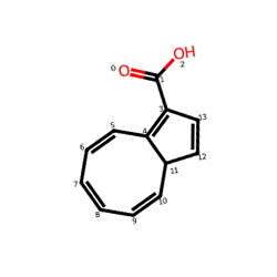 O=C(O)C1=C2\C=C/C=C\C=C/C2C=C1